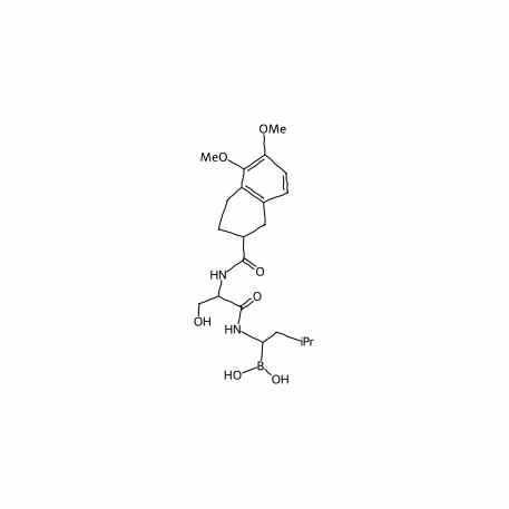 COc1ccc2c(c1OC)CCC(C(=O)NC(CO)C(=O)NC(CC(C)C)B(O)O)C2